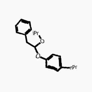 CCCc1ccc(OC(Cc2ccccc2)OC(C)C)cc1